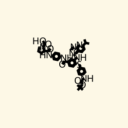 CC(C)c1ccc2c(Nc3cc(C(=O)Nc4ccc(NC(=O)C5CCCN5C(=O)O)cc4)ccc3Sc3ccc(NC(=O)OC(C)(C)C)cc3)ncnc2n1